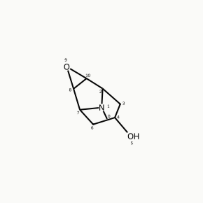 CN1C2CC(O)CC1C1OC12